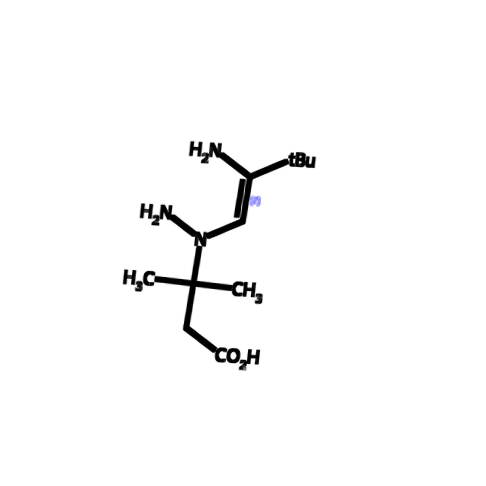 CC(C)(C)/C(N)=C/N(N)C(C)(C)CC(=O)O